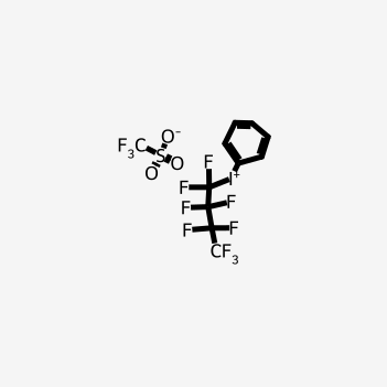 FC(F)(F)C(F)(F)C(F)(F)C(F)(F)[I+]c1ccccc1.O=S(=O)([O-])C(F)(F)F